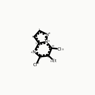 CCc1c(Cl)nc2ccnn2c1Cl